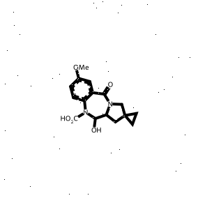 COc1ccc2c(c1)C(=O)N1CC3(CC3)CC1C(O)N2C(=O)O